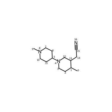 CC1CCN(C2CCN(C)CC2)CC1CC#N